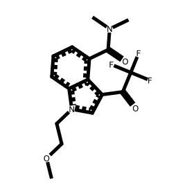 COCCn1cc(C(=O)C(F)(F)F)c2c(C(=O)N(C)C)cccc21